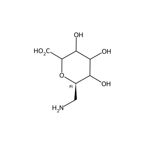 NC[C@H]1OC(C(=O)O)C(O)C(O)C1O